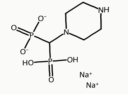 O=P([O-])([O-])C(N1CCNCC1)P(=O)(O)O.[Na+].[Na+]